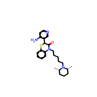 C[C@@H]1CCC[C@H](C)N1CCCCCN1C(=O)C(c2cnccc2N)Sc2ccccc21